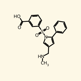 CNCc1cc(-c2ccccc2)n(S(=O)(=O)c2cccc(C(=O)O)c2)c1